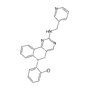 Clc1ccccc1C1Cc2cnc(NCc3cccnc3)nc2-c2ccccc21